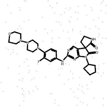 O=C1NCCC12C(=O)N(C1CCCC1)c1nc(Nc3ccc(N4CCN(N5CCOCC5)CC4)c(F)c3)ncc12